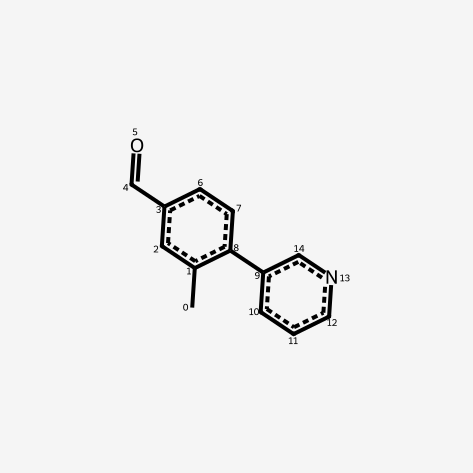 Cc1cc(C=O)ccc1-c1cccnc1